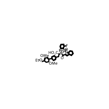 CCOCC1=CC(OC)=C(c2ccc(C[C@H](NC(=O)c3cc4ccccc4n3S(=O)(=O)c3c(F)cccc3F)C(=O)O)cc2)C(OC)C1